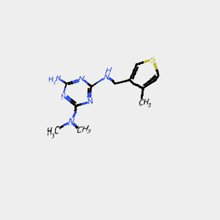 Cc1cscc1CNc1nc(N)nc(N(C)C)n1